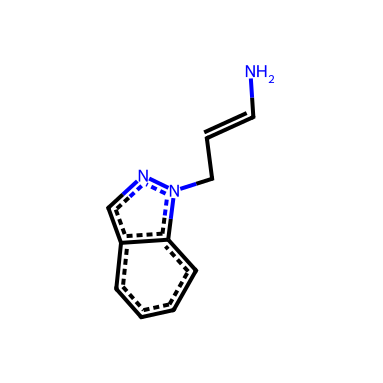 NC=CCn1ncc2ccccc21